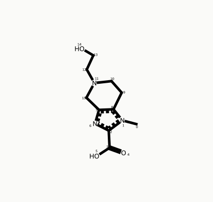 Cn1c(C(=O)O)nc2c1CCN(CCO)C2